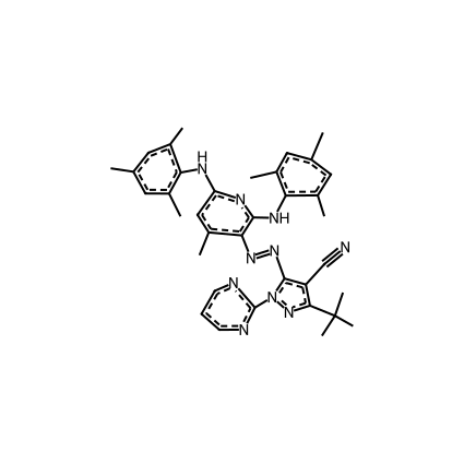 Cc1cc(C)c(Nc2cc(C)c(/N=N/c3c(C#N)c(C(C)(C)C)nn3-c3ncccn3)c(Nc3c(C)cc(C)cc3C)n2)c(C)c1